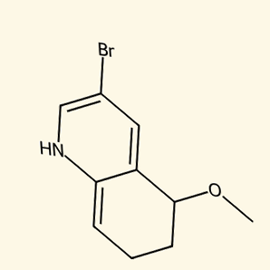 COC1CCC=C2NC=C(Br)C=C21